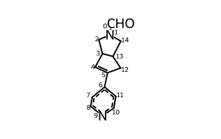 O=CN1CC2C=C(c3ccncc3)CC2C1